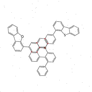 c1ccc(-c2ccccc2-c2c(-c3ccccc3)cccc2N(c2ccc(-c3cccc4c3oc3ccccc34)cc2)c2ccc(-c3cccc4c3sc3ccccc34)cc2)cc1